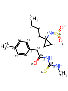 CCCCC1(N=S(=O)=O)CC1.CNC(=S)NC(=O)Cc1ccc(C)cc1